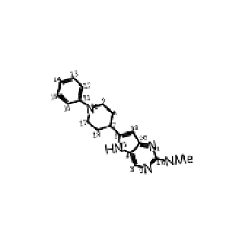 CNc1ncc2[nH]c(C3CCN(c4ccccc4)CC3)cc2n1